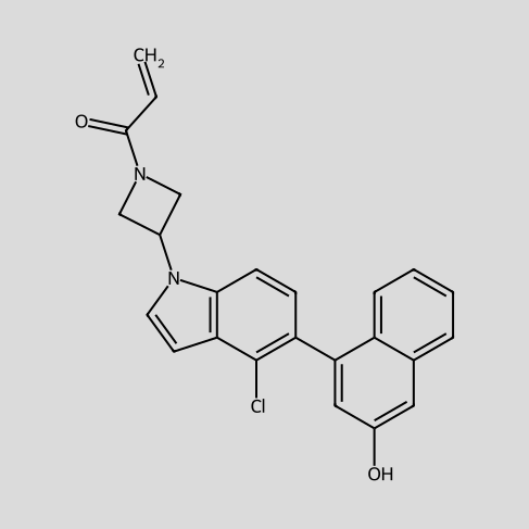 C=CC(=O)N1CC(n2ccc3c(Cl)c(-c4cc(O)cc5ccccc45)ccc32)C1